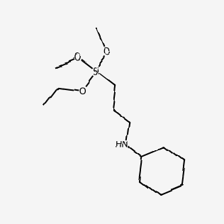 CCO[Si](CCCNC1CCCCC1)(OC)OC